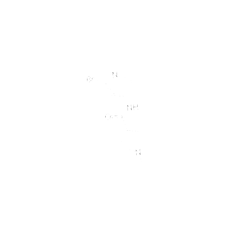 CN1CCC(C(=O)Nc2ccnc(Br)c2)CC1